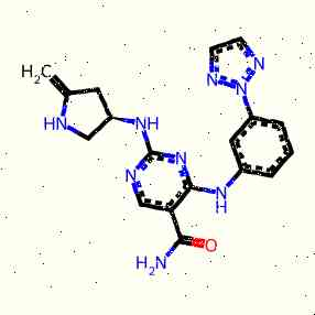 C=C1C[C@@H](Nc2ncc(C(N)=O)c(Nc3cccc(-n4nccn4)c3)n2)CN1